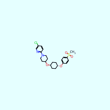 CS(=O)(=O)c1ccc(O[C@H]2CC[C@H](OC3CCN(c4ccc(Cl)cn4)CC3)CC2)cc1